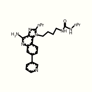 CCCNC(=O)NCCCCn1c(CCC)nc2c(N)nc3cc(-c4cccnc4)ccc3c21